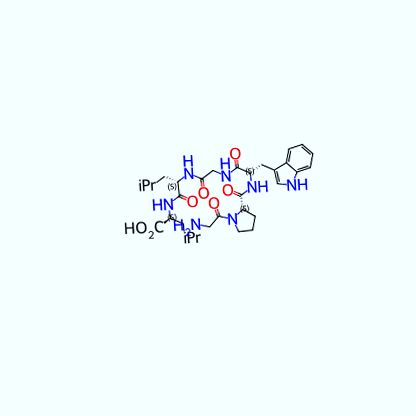 CC(C)C[C@H](NC(=O)[C@H](CC(C)C)NC(=O)CNC(=O)[C@H](Cc1c[nH]c2ccccc12)NC(=O)[C@@H]1CCCN1C(=O)CN)C(=O)O